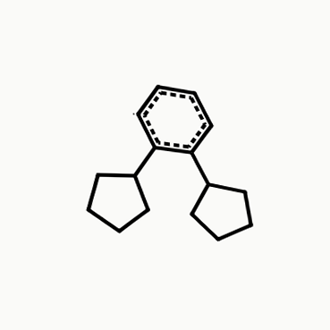 [c]1cccc(C2CCCC2)c1C1CCCC1